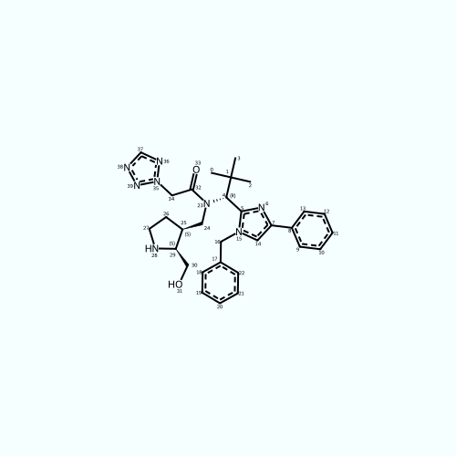 CC(C)(C)[C@H](c1nc(-c2ccccc2)cn1Cc1ccccc1)N(C[C@@H]1CCN[C@@H]1CO)C(=O)Cn1ncnn1